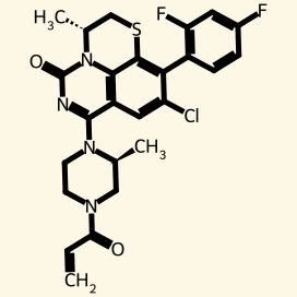 C=CC(=O)N1CCN(c2nc(=O)n3c4c(c(-c5ccc(F)cc5F)c(Cl)cc24)SC[C@H]3C)[C@@H](C)C1